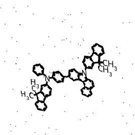 CC1(C)c2ccccc2-c2ccc(N(c3ccccc3)c3ccc(-c4ccc5c(c4)c4c6ccccc6ccc4n5-c4ccc5c(c4)C(C)(C)c4ccccc4-5)cc3)cc21